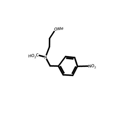 COCCN(Cc1ccc([N+](=O)[O-])cc1)C(=O)O